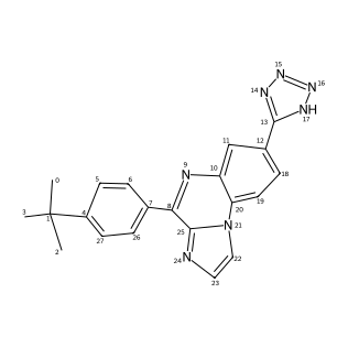 CC(C)(C)c1ccc(-c2nc3cc(-c4nnn[nH]4)ccc3n3ccnc23)cc1